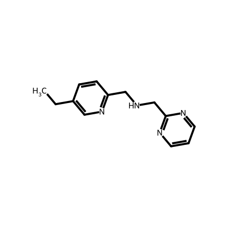 CCc1ccc(CNCc2ncccn2)nc1